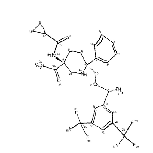 C[C@@H](OC[C@@]1(c2ccccc2)CC[C@@](NC(=O)C2CC2)(C(N)=O)CN1)c1cc(C(F)(F)F)cc(C(F)(F)F)c1